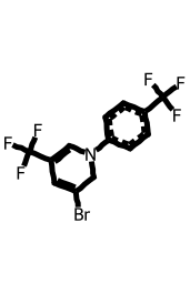 FC(F)(F)C1=CN(c2ccc(C(F)(F)F)cc2)CC(Br)=C1